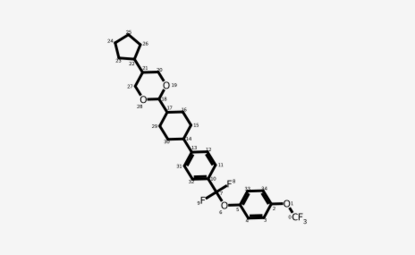 FC(F)(F)Oc1ccc(OC(F)(F)c2ccc(C3CCC(C4OCC(C5CCCC5)CO4)CC3)cc2)cc1